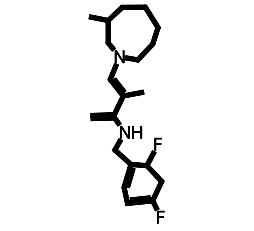 C=C(NCC1=CC=C(F)CC1F)/C(C)=C/N1CCCCCC(C)C1